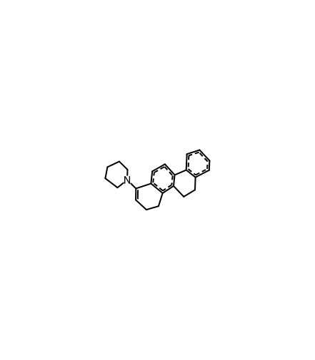 C1=C(N2CCCCC2)c2ccc3c(c2CC1)CCc1ccccc1-3